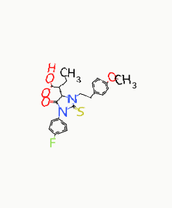 CCC(C(=O)O)C1C(=O)N(c2ccc(F)cc2)C(=S)N1CCc1ccc(OC)cc1